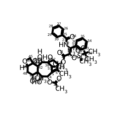 CC(=O)O[C@H]1C2=C(C)[C@@H](OC(=O)[C@H](O[Si](C)(C)C(C)(C)C)[C@@H](NC(=O)c3ccccc3)c3ccccc3)C[C@@](O)([C@@H](O)[C@@H]3[C@]4(O)CO[C@@H]4C[C@H](O)[C@@]3(C)[C@H]1O)C2(C)C